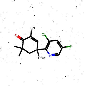 COC1(c2ncc(F)cc2Cl)C=C(C#N)C(=O)C(C)(C)C1